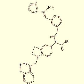 CCC(=O)N(NCc1cccc(N=C(N)c2cccs2)c1)c1ccc2c(c1)CCN2Cc1cccc2ccccc12